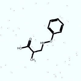 CC(CNOc1ccccc1)C(=O)O